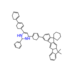 CC1(C)c2ccccc2C2C=C3C(=CC21)C1(CCCCC1)c1ccc(C2=CC=C(C4C=C(C5=CC=C(C6=CC=CCC6)CC5)NC(c5ccccc5)N4)CC2)cc13